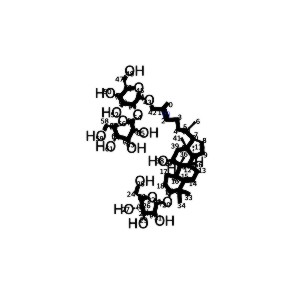 C/C(=C\CC[C@@H](C)[C@H]1CC[C@@]2(C)[C@@H]3CC=C4[C@@H](CC[C@H](O[C@@H]5O[C@H](CO)[C@@H](O)[C@H](O)[C@H]5O)C4(C)C)[C@]3(C)[C@H](O)C[C@]12C)CO[C@@H]1O[C@H](CO)[C@@H](O)[C@H](O)[C@H]1O[C@@H]1O[C@H](CO)[C@@H](O)[C@H](O)[C@H]1O